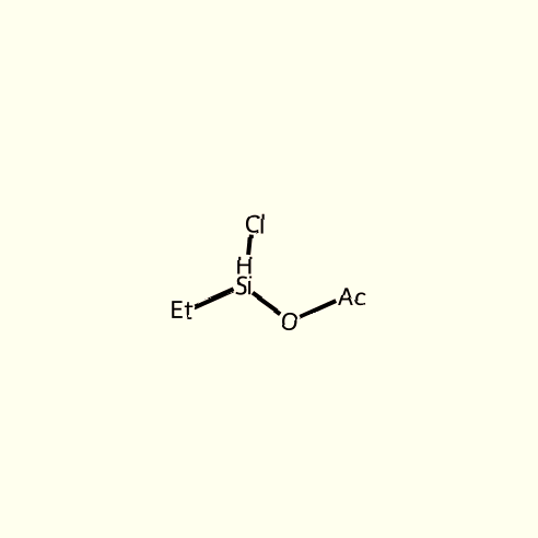 CC[SiH](Cl)OC(C)=O